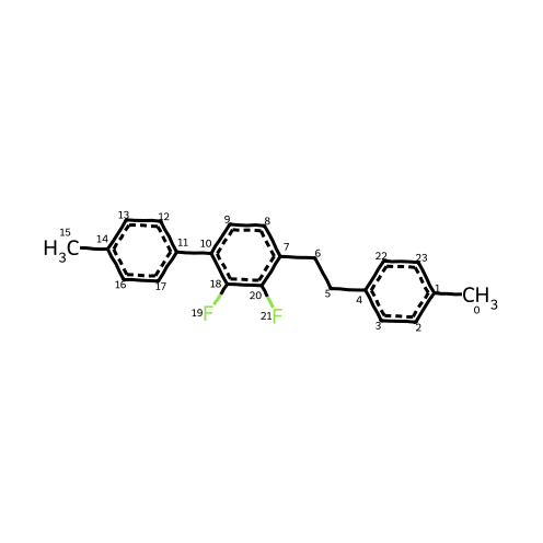 Cc1ccc(CCc2ccc(-c3ccc(C)cc3)c(F)c2F)cc1